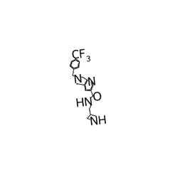 O=C(NCCC1CNC1)c1cnc2c(c1)CN(Cc1ccc(C(F)(F)F)cc1)C2